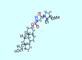 CCCCCCCC[C@H]1CCC2C3CC=C4CC(OC(=O)NCC(=O)N5CC[C@H](OC)[C@@H]5CC)CC[C@]4(C)C3CC[C@@]21C